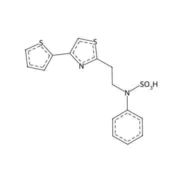 O=S(=O)(O)N(CCc1nc(-c2cccs2)cs1)c1ccccc1